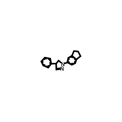 C1=NN(c2ccc3c(c2)CCC3)CC1c1ccccc1